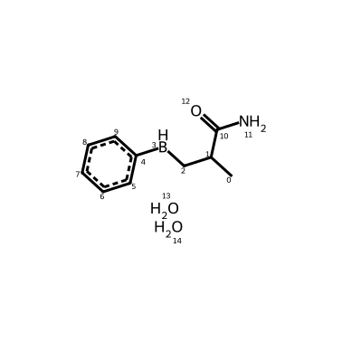 CC(CBc1ccccc1)C(N)=O.O.O